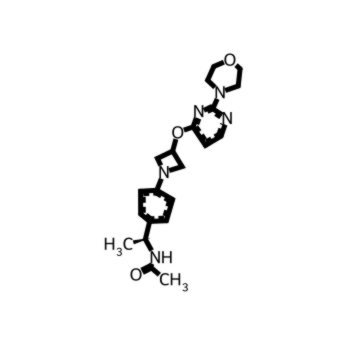 CC(=O)N[C@@H](C)c1ccc(N2CC(Oc3ccnc(N4CCOCC4)n3)C2)cc1